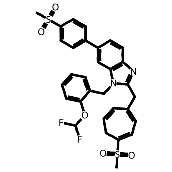 CS(=O)(=O)C1=CC=C(Cc2nc3ccc(-c4ccc(S(C)(=O)=O)cc4)cc3n2Cc2ccccc2OC(F)F)C=CC1